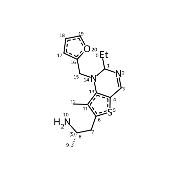 CCC1N=Cc2sc(C[C@H](C)N)c(C)c2N1Cc1ccco1